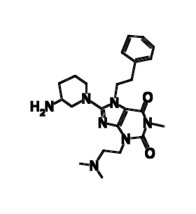 CN(C)CCn1c(=O)n(C)c(=O)c2c1nc(N1CCCC(N)C1)n2CCc1ccccc1